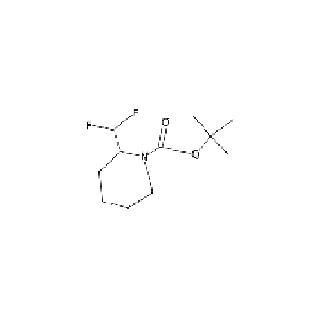 CC(C)(C)OC(=O)N1CCCCC1C(F)F